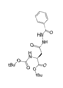 CC(C)(C)OC(=O)N[C@@H](CC(=O)NNC(=O)c1ccccc1)C(=O)OC(C)(C)C